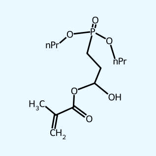 C=C(C)C(=O)OC(O)CCP(=O)(OCCC)OCCC